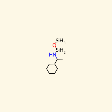 CC(N[SiH2]O[SiH3])C1CCCCC1